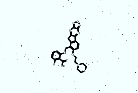 O=C(O)c1c(F)cccc1OCc1c(OCCN2CCOCC2)ccc2c1Cc1nc3nonc3nc1-2